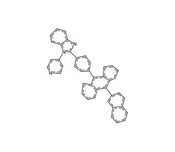 c1ccc2cc(-c3c4ccccc4c(-c4ccc(-c5nc6ccccc6n5-c5ccncc5)cc4)c4ccccc34)ccc2c1